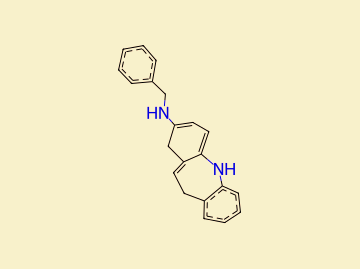 C1=C(NCc2ccccc2)CC2=CCc3ccccc3NC2=C1